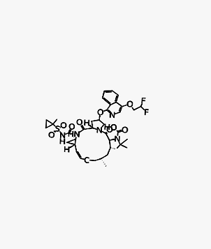 C[C@@H]1CC/C=C\[C@@H]2C[C@@]2(C(=O)NS(=O)(=O)C2(C)CC2)NC(=O)[C@@H]2C[C@@H](Oc3ncc(OCC(F)F)c4ccccc34)CN2C(=O)[C@@H](N(C(=O)O)C(C)(C)C)[C@H](C)C1